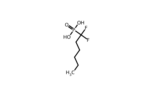 CCCCCC(F)(F)P(=O)(O)O